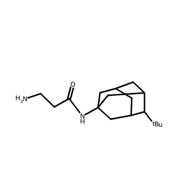 CC(C)(C)C1C2CC3CC1CC(NC(=O)CCN)(C3)C2